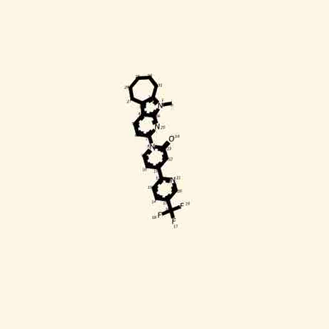 Cn1c2c(c3ccc(-n4ccc(-c5ccc(C(F)(F)F)cn5)cc4=O)nc31)CCCCC2